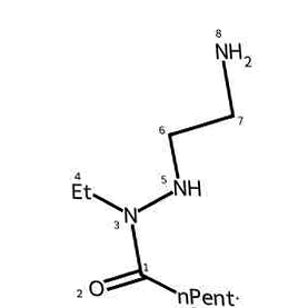 [CH2]CCC[CH]C(=O)N(CC)NCCN